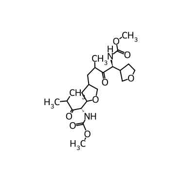 COC(=O)N[C@H](C(=O)C(C)CC1COC([C@H](NC(=O)OC)C(=O)C(C)C)C1)C1CCOC1